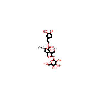 C/C=C1/[C@H](OC2OC(CO)C(O)C(O)C2O)OC=C(CC(=O)OC)[C@@]1(O)CC(=O)OCCC1=CCC(O)C(O)=C1